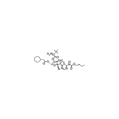 CCCCOC(=O)Nc1ncnn2c([C@]3(C#N)O[C@H](COC(=O)CC4CCCCCC4)[C@@H](OC(=O)[C@@H](N)C(C)(C)C)[C@H]3O)ccc12